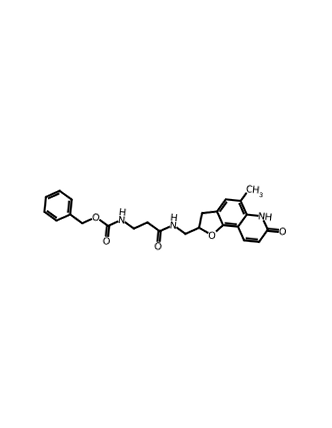 Cc1cc2c(c3ccc(=O)[nH]c13)OC(CNC(=O)CCNC(=O)OCc1ccccc1)C2